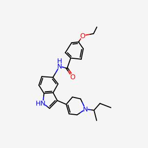 CCOc1ccc(C(=O)Nc2ccc3[nH]cc(C4=CCN(C(C)CC)CC4)c3c2)cc1